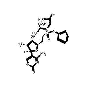 CC(C)C(C)CN([C@@H](C)C(=O)O)[P@@](=O)(OC[C@H]1O[C@@](F)(c2c[nH]c(=O)nc2N)[C@H](C)[C@@H]1O)Oc1ccccc1